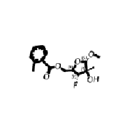 CO[C@H]1O[C@H](COC(=O)c2ccccc2C)[C@@H](F)[C@@]1(C)O